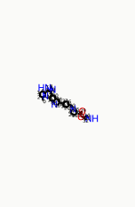 Cc1cccc(-c2[nH]cnc2-c2ccc3ncc(-c4ccc(CN5CCC[C@H](C(=O)OC6CNC6)C5)cc4)cc3c2)n1